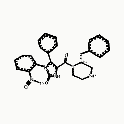 O=C(c1[nH]c(=O)n(-c2ccccc2[N+](=O)[O-])c1-c1ccccc1)N1CCNC[C@H]1Cc1ccccc1